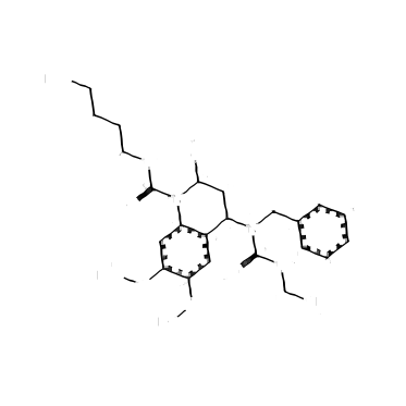 CCCCCOC(=O)N1c2cc(OC)c(OC)cc2C(N(Cc2ccccc2)C(=O)OCC)CC1C